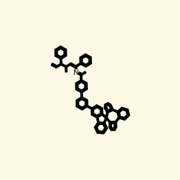 C=CC(c1ccccc1)C(C)/C=C(\N=C(/C)c1ccc(-c2cccc(-c3ccc4c(c3)-c3ccccc3C43c4ccccc4-c4ccccc4-c4ccccc43)c2)cc1)c1ccccc1